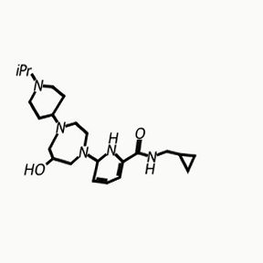 CC(C)N1CCC(N2CCN(C3C=CC=C(C(=O)NCC4CC4)N3)CC(O)C2)CC1